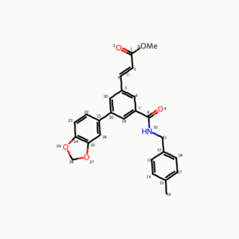 COC(=O)/C=C/c1cc(C(=O)NCc2ccc(C)cc2)cc(-c2ccc3c(c2)OCO3)c1